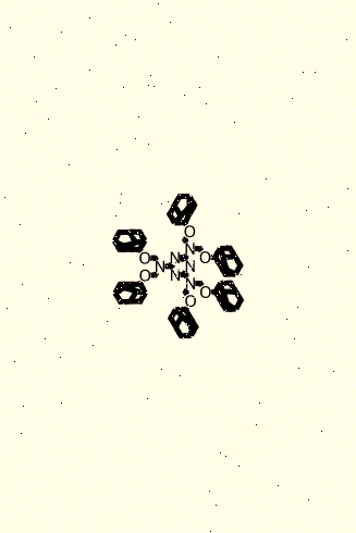 C1C2CC3CC1CC(C2)C3OCN(COC1C2CC3CC(C2)CC1C3)c1nc(N(COC2C3CC4CC(C3)CC2C4)COC2C3CC4CC(C3)CC2C4)nc(N(COC2C3CC4CC(C3)CC2C4)COC2C3CC4CC(C3)CC2C4)n1